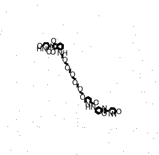 Cn1nc(-c2nc3cc(NC(=O)c4ccc(OCCOCCOCCOCCOCCOCCNc5cccc6c5C(=O)N(C5CCC(=O)NC5=O)C6=O)cn4)ccc3o2)ccc1=O